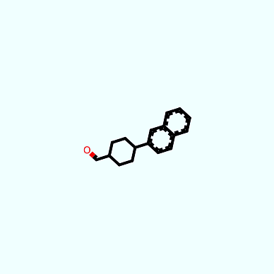 O=CC1CCC(c2ccc3ccccc3c2)CC1